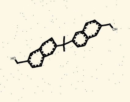 CC(C)(c1ccc2cc(CO)ccc2c1)c1ccc2cc(CO)ccc2c1